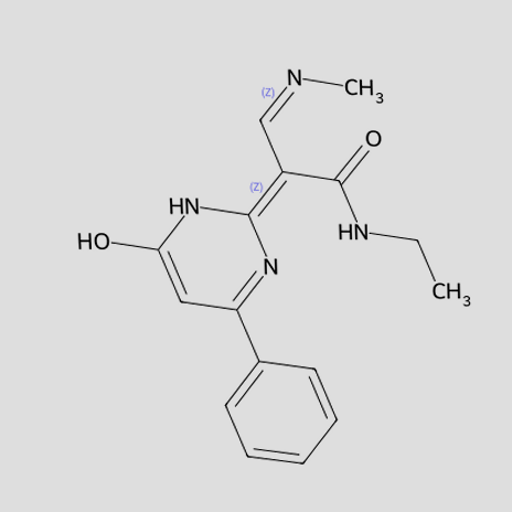 CCNC(=O)C(/C=N\C)=C1\N=C(c2ccccc2)C=C(O)N1